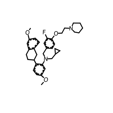 COc1ccc2c(c1)CCC(c1ccc(OC)cc1N(Cc1ccc(OCCN3CCCCC3)c(F)c1)CC1CC1)C2